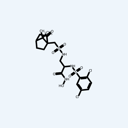 CC1(C)C2CCC1(CS(=O)(=O)NCC(NS(=O)(=O)c1cc(Cl)ccc1Cl)C(=O)NO)C(=O)C2